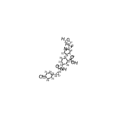 CCC(F)(F)c1ccc(-c2ccc(NC(=O)[C@@H]3C[C@H]3c3ccc(Cl)cc3)cc2C(=O)O)cn1